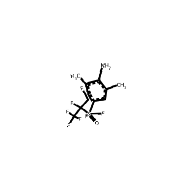 Cc1cc(S(=O)(F)(F)C(F)(CF)C(F)(F)F)cc(C)c1N